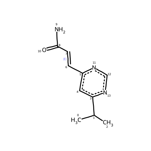 CC(C)c1cc(/C=C/C(N)=O)ncn1